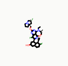 C#Cc1c(F)ccc2cc(O)cc(-c3nc4c5c(nc(OC[C@@]67CCCN6C[C@H](F)C7)nc5c3F)N(CC)[C@@H](C)CO4)c12